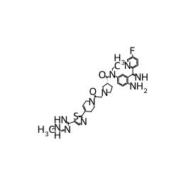 CCN(C(=O)[C@@H]1CCN(CC(=O)N2CC=C(c3ncc(C(=N)/N=C\NC)s3)CC2)C1)c1ccc(N)c(C(=N)c2ccc(F)cn2)c1